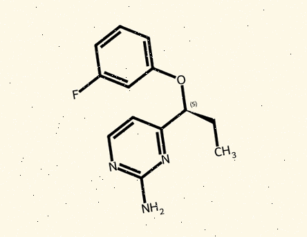 CC[C@H](Oc1cccc(F)c1)c1ccnc(N)n1